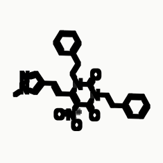 Cn1cc(C=Cc2c([N+](=O)[O-])c(=O)n(CCc3ccccc3)c(=O)n2CCc2ccccc2)cn1